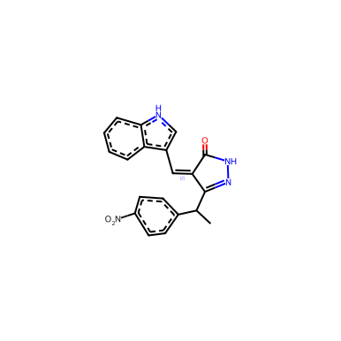 CC(C1=NNC(=O)/C1=C\c1c[nH]c2ccccc12)c1ccc([N+](=O)[O-])cc1